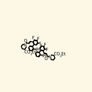 CCOC(=O)C1CCCN(C(=O)/C=C/c2c(-c3ccccc3C(C)C)cc(Sc3cc(-c4ccccc4C(C)C)c(/C=C/C(=O)N4CCCC(C(=O)OCC)C4)c(F)c3F)c(F)c2F)C1